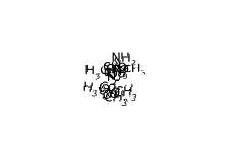 COc1ccc(C=C(C#N)c2cc(OC)c(OC)c(OC)c2)cc1N(C(=O)CCCN)C(=O)OC(C)(C)C